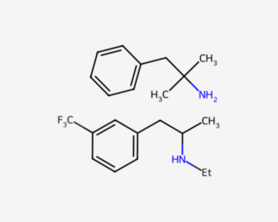 CC(C)(N)Cc1ccccc1.CCNC(C)Cc1cccc(C(F)(F)F)c1